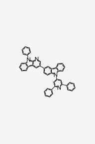 c1ccc(-c2cc(-n3c4ccccc4c4cc(-c5cnc6c(c5)c5ccccc5n6-c5ccccc5)ccc43)cc(-c3ccccc3)n2)cc1